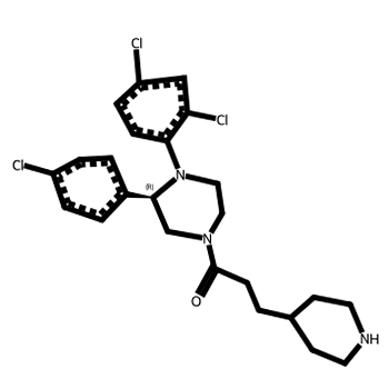 O=C(CCC1CCNCC1)N1CCN(c2ccc(Cl)cc2Cl)[C@H](c2ccc(Cl)cc2)C1